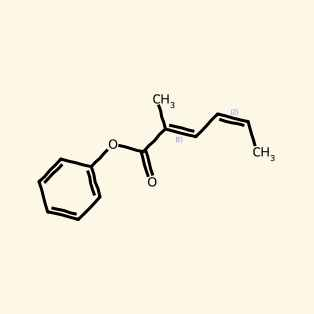 C/C=C\C=C(/C)C(=O)Oc1ccccc1